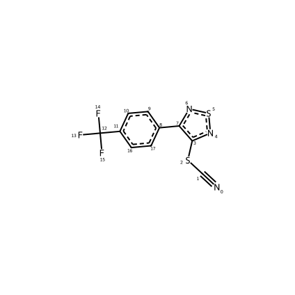 N#CSc1nsnc1-c1ccc(C(F)(F)F)cc1